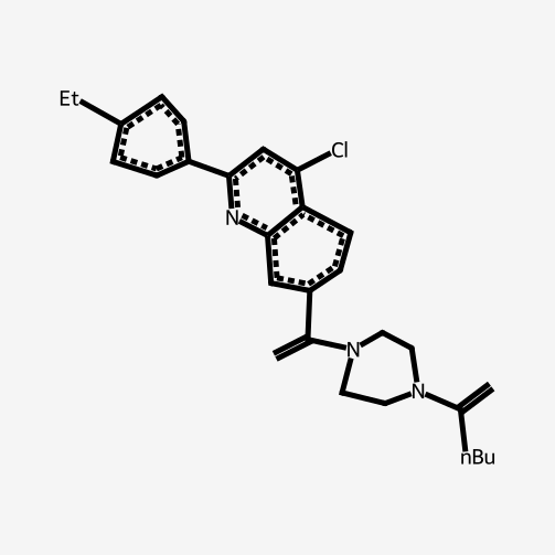 C=C(CCCC)N1CCN(C(=C)c2ccc3c(Cl)cc(-c4ccc(CC)cc4)nc3c2)CC1